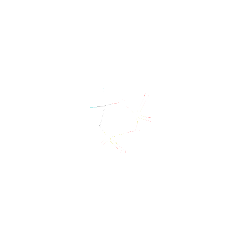 O=S1(=O)CC(F)(F)OS(=O)(=O)O1